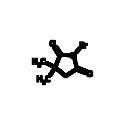 CC1(C)CC(=O)N(Br)C1=O